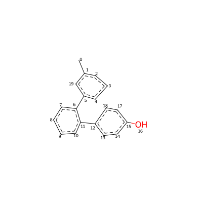 Cc1cccc(-c2ccccc2-c2ccc(O)cc2)c1